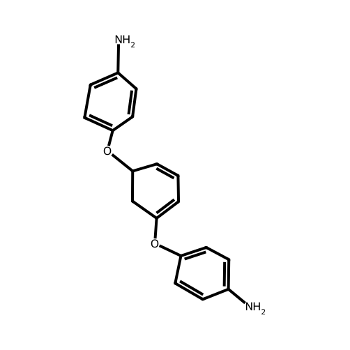 Nc1ccc(OC2=CC=CC(Oc3ccc(N)cc3)C2)cc1